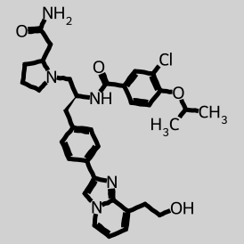 CC(C)Oc1ccc(C(=O)N[C@@H](Cc2ccc(-c3cn4cccc(CCO)c4n3)cc2)CN2CCCC2CC(N)=O)cc1Cl